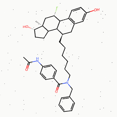 CC(=O)Nc1ccc(C(=O)N(CCCCCC[C@@H]2Cc3cc(O)ccc3C3C2C2CC[C@H](O)[C@@]2(C)C[C@@H]3F)Cc2ccccc2)cc1